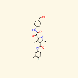 Cc1cc(NC(=O)c2c(C)c(C(=O)C(=O)NC3CCC(CO)CC3)n(C)c2C)ccc1F